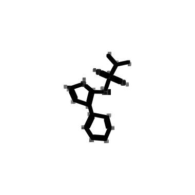 CC(C)S(=O)(=O)Nc1oncc1-c1ccccc1